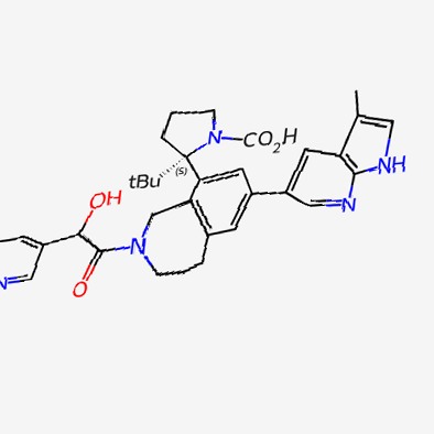 Cc1c[nH]c2ncc(-c3cc4c(c([C@@]5(C(C)(C)C)CCCN5C(=O)O)c3)CN(C(=O)C(O)c3cccnc3)CC4)cc12